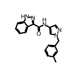 Cc1cccc(Cn2cc(NC(=O)c3n[nH]c4ccccc34)cn2)c1